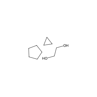 C1CC1.C1CCCC1.OCCO